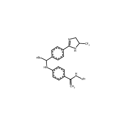 C=C(NCCC)c1ccc(NC(CCCC)c2ccc(C3=NCC(C(F)(F)F)N3)cc2)cc1